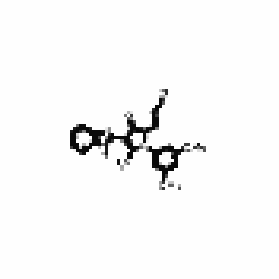 COc1cc(OC)cc(N2C(N)=C(c3nc4ccccc4[nH]3)C(=O)C2CCCO)c1